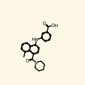 Cc1cccc2c(Nc3cccc(C(=O)O)c3)ccc(C(=O)N3CCCCC3)c12